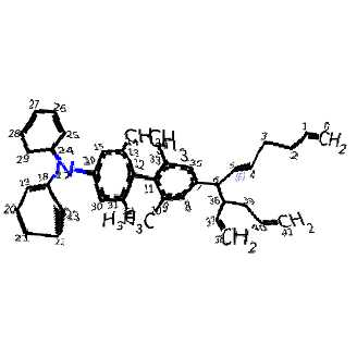 C=CCC/C=C/C(c1cc(C)c(-c2c(C)cc(N(C3=CCCC=C3)C3C=CC=CC3)cc2C)c(C)c1)C(C=C)CC=C